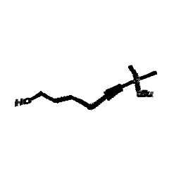 CC(C)(C)[Si](C)(C)C#CCCCCO